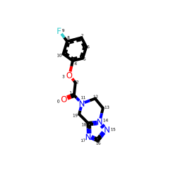 O=C(COc1cccc(F)c1)N1CCn2ncnc2C1